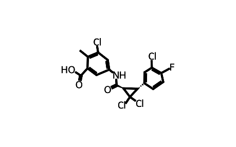 Cc1c(Cl)cc(NC(=O)[C@H]2[C@H](c3ccc(F)c(Cl)c3)C2(Cl)Cl)cc1C(=O)O